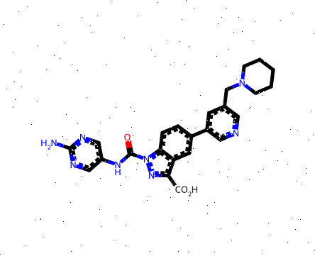 Nc1ncc(NC(=O)n2nc(C(=O)O)c3cc(-c4cncc(CN5CCCCC5)c4)ccc32)cn1